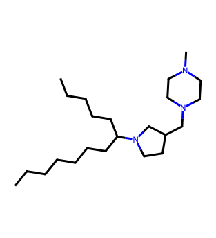 CCCCCCCC(CCCCC)N1CCC(CN2CCN(C)CC2)C1